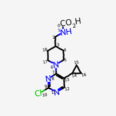 O=C(O)NCC1CCN(c2nc(Cl)ncc2C2CC2)CC1